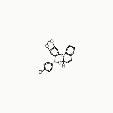 Clc1ccc([C@H]2O[C@H]3C=Cc4ccccc4N3c3cc4c(cc32)OCO4)cc1